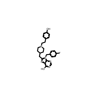 Oc1ccc(CCN2CCC(Cc3nc4c(O)ncnc4n3Cc3ccc(F)cc3)CC2)cc1